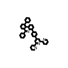 c1ccc(-c2nc3c(-c4ccc(-c5cc(-c6ccccn6)nc(-c6ccccn6)c5)cc4)cccc3c3c(-c4ccccc4)cccc23)cc1